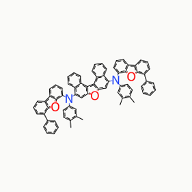 Cc1ccc(N(c2cc3oc4cc(N(c5ccc(C)c(C)c5)c5cccc6c5oc5c(-c7ccccc7)cccc56)c5ccccc5c4c3c3ccccc23)c2cccc3c2oc2c(-c4ccccc4)cccc23)cc1C